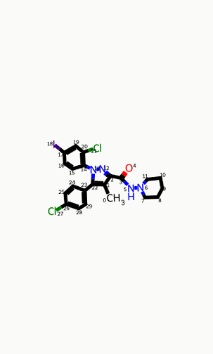 Cc1c(C(=O)NN2CCCCC2)nn(-c2ccc(I)cc2Cl)c1-c1ccc(Cl)cc1